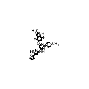 Cc1cc2c(F)c(Oc3cc(Nc4cc(-c5cccs5)[nH]n4)nc(N4CCN(C)CC4)n3)cc(F)c2[nH]1